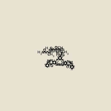 COc1cc2c(cc1OCc1cc(COc3cc4c(cc3OC)C(=O)N3c5ccccc5C[C@H]3C=N4)cc(NC(=O)[C@@H](C)NC(=O)[C@H](C)NC(=O)CCC(C)(C)SSC(C)CCC(N)=O)c1)N=C[C@@H]1Cc3ccccc3N1C2=O